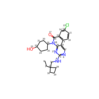 CCC1(CNc2ncc3c4ccc(Cl)cc4c(=O)n(C4CCC(O)CC4)c3n2)CCC1